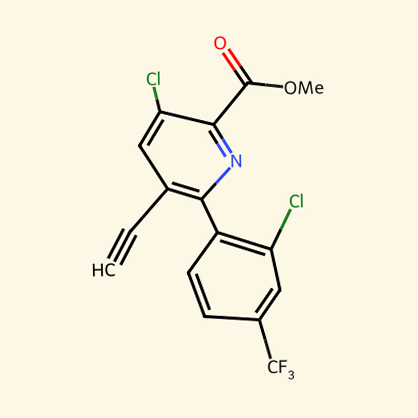 C#Cc1cc(Cl)c(C(=O)OC)nc1-c1ccc(C(F)(F)F)cc1Cl